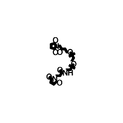 CC(C)(CCNC(=O)CCN1C(=O)C=CC1=O)OCCC(C)(C)OCCC(=O)CN1C(=O)CCC1=O